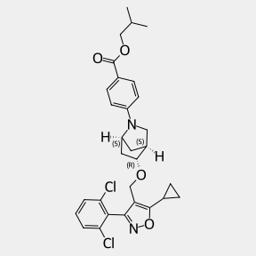 CC(C)COC(=O)c1ccc(N2C[C@@H]3C[C@H]2C[C@H]3OCc2c(-c3c(Cl)cccc3Cl)noc2C2CC2)cc1